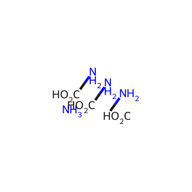 N.NC(=O)O.NC(=O)O.NC(=O)O